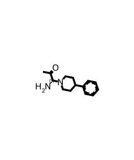 CC(=O)[C@@H](N)N1CCC(c2ccccc2)CC1